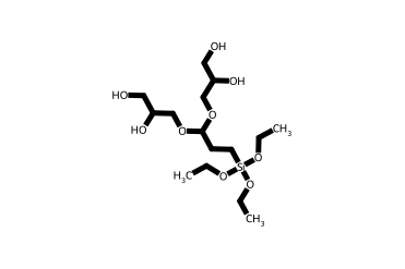 CCO[Si](CCC(OCC(O)CO)OCC(O)CO)(OCC)OCC